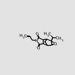 C=CCN1C(=O)C2C3CC(C2C1=O)C1(C(C)C)OC31